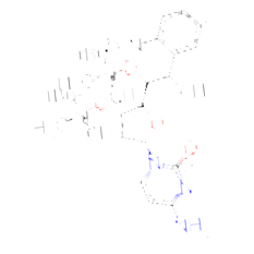 CC(c1ccccc1[N+](=O)[O-])C(O[Si](C)(C)C(C)(C)C)[C@H]1O[C@@H](n2ccc(N)nc2=O)C[C@@H]1O[Si](C)(C)C(C)(C)C